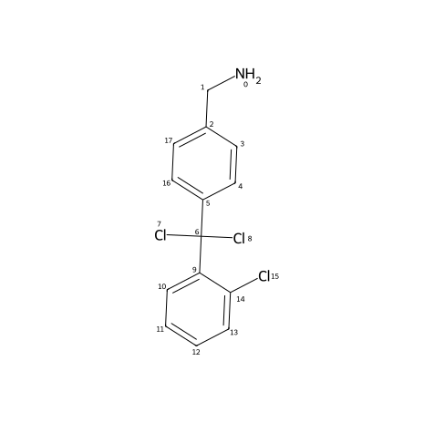 NCc1ccc(C(Cl)(Cl)c2ccccc2Cl)cc1